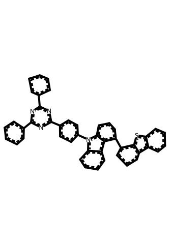 c1ccc(-c2nc(-c3ccccc3)nc(-c3ccc(-n4c5ccccc5c5c(-c6cccc7c6sc6ccccc67)cccc54)cc3)n2)cc1